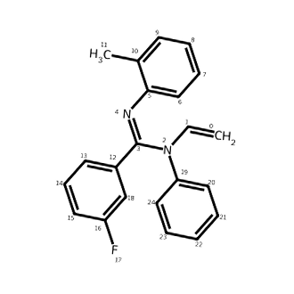 C=CN(/C(=N\c1ccccc1C)c1cccc(F)c1)c1ccccc1